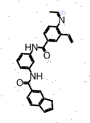 C=Cc1cc(C(=O)Nc2cccc(NC(=O)c3ccc4c(c3)CC=C4)c2)ccc1/N=C\C